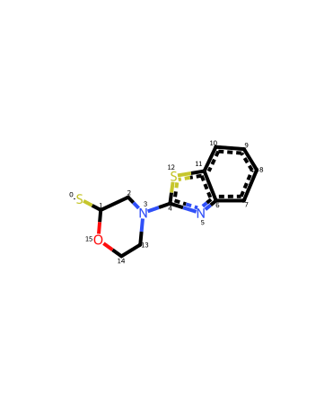 [S]C1CN(c2nc3ccccc3s2)CCO1